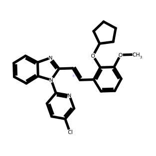 COc1cccc(/C=C/c2nc3ccccc3n2-c2ccc(Cl)cn2)c1OC1CCCC1